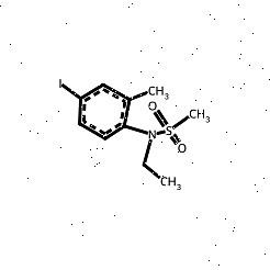 CCN(c1ccc(I)cc1C)S(C)(=O)=O